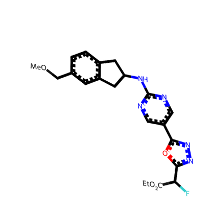 CCOC(=O)C(F)c1nnc(-c2cnc(NC3Cc4ccc(COC)cc4C3)nc2)o1